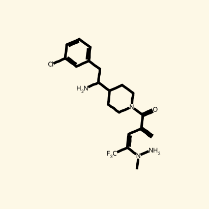 C=C(/C=C(\N(C)N)C(F)(F)F)C(=O)N1CCC(C(N)Cc2cccc(Cl)c2)CC1